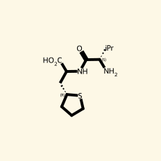 CC(C)[C@H](N)C(=O)NC(C[C@H]1CCCS1)C(=O)O